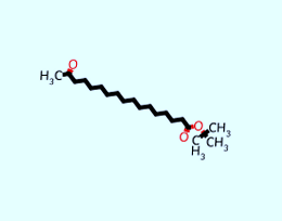 CC(=O)CCCCCCCCCCCCCCC(=O)OC(C)(C)C